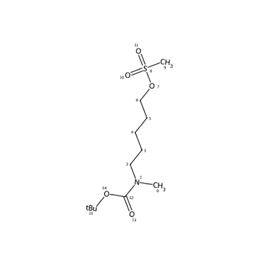 CN(CCCCCOS(C)(=O)=O)C(=O)OC(C)(C)C